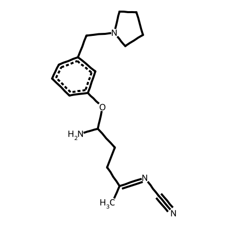 CC(CCC(N)Oc1cccc(CN2CCCC2)c1)=NC#N